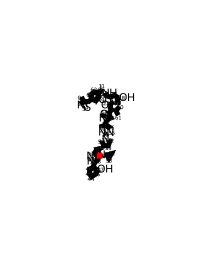 Cc1ncsc1-c1ccc([C@H](C)NC(=O)C2CC(O)CN2C(=O)[C@@H](c2cc(-c3cnc(N4CC[C@H](c5cc6nnc(-c7ccccc7O)cc6n5C5CC5)C4)nc3)no2)C(C)C)cc1